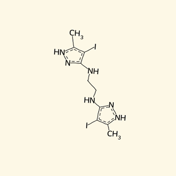 Cc1[nH]nc(NCCNc2n[nH]c(C)c2I)c1I